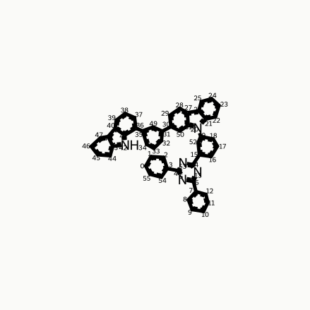 c1ccc(-c2nc(-c3ccccc3)nc(-c3cccc(-n4c5ccccc5c5ccc(-c6cccc(-c7cccc8c7[nH]c7ccccc78)c6)cc54)c3)n2)cc1